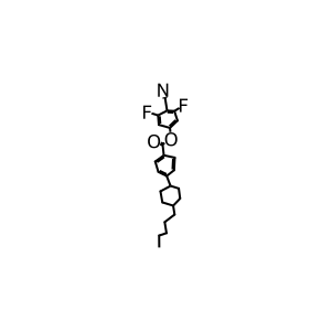 CCCCCC1CCC(c2ccc(C(=O)Oc3cc(F)c(C#N)c(F)c3)cc2)CC1